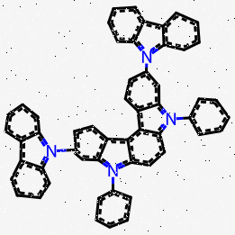 c1ccc(-n2c3cc(-n4c5ccccc5c5ccccc54)ccc3c3c4c5ccc(-n6c7ccccc7c7ccccc76)cc5n(-c5ccccc5)c4ccc32)cc1